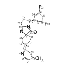 Cc1ccnc(N2CCC3(CC2)N=C2CC[C@@H](c4cc(F)cc(F)c4)N2C3=O)c1